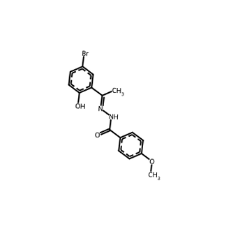 COc1ccc(C(=O)N/N=C(\C)c2cc(Br)ccc2O)cc1